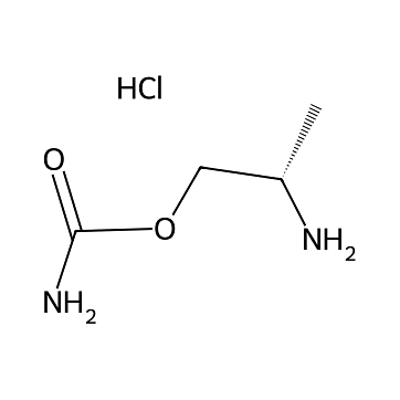 C[C@H](N)COC(N)=O.Cl